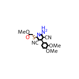 COC(=O)CSc1nc(N)c(C#N)c(-c2ccc(OC)c(OC)c2)c1C#N